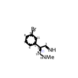 CN/N=C(\C=N)c1cccc(Br)c1